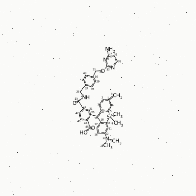 C=c1ccc2c(c1)[Si](C)(C)c1cc(N(C)C)ccc1C=2c1cc(C(=O)NCc2ccc(COc3nccc(N)n3)cc2)ccc1C(=O)O